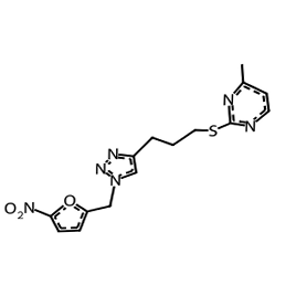 Cc1ccnc(SCCCc2cn(Cc3ccc([N+](=O)[O-])o3)nn2)n1